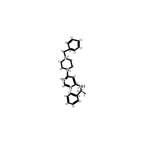 C[C@H](Nc1cc(N2CCN(Cc3ccccc3)CC2)ncn1)c1ccccc1